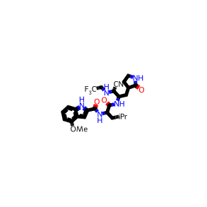 COc1cccc2[nH]c(C(=O)NC(CC(C)C)C(=O)NC(CC3CCNC3=O)C(C#N)NCC(F)(F)F)cc12